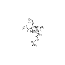 C=C[Si](NCCCC)(NCCCC)NCCCC